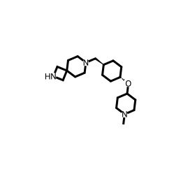 CN1CCC(O[C@H]2CC[C@H](CN3CCC4(CC3)CNC4)CC2)CC1